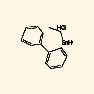 C[CH2][SnH].Cl.c1ccc(-c2ccccc2)cc1